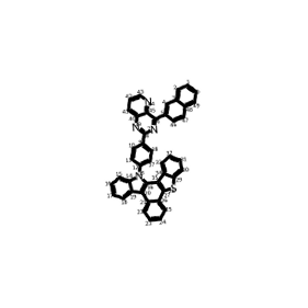 c1ccc2cc(-c3nc(-c4ccc(-n5c6ccccc6c6c7ccccc7c7sc8ccccc8c7c65)cc4)nc4cccnc34)ccc2c1